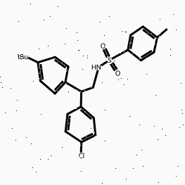 Cc1ccc(S(=O)(=O)NCC(c2ccc(Cl)cc2)c2ccc(C(C)(C)C)cc2)cc1